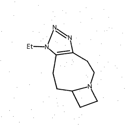 CCn1nnc2c1CCC1CCN1CC2